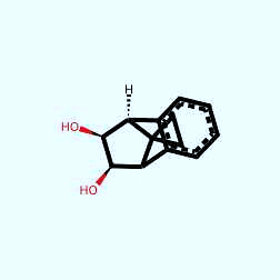 O[C@@H]1[C@H](O)C2c3ccccc3[C@H]1C21CC1